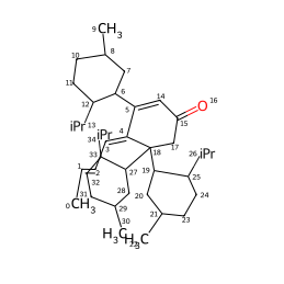 C/C=C/C=C1/C(C2CC(C)CCC2C(C)C)=CC(=O)CC1(C1CC(C)CCC1C(C)C)C1CC(C)CCC1C(C)C